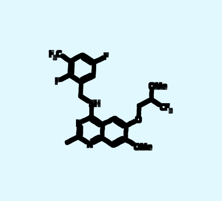 COc1cc2nc(C)nc(NCc3cc(F)cc(C(F)(F)F)c3F)c2cc1OCC(OC)C(F)(F)F